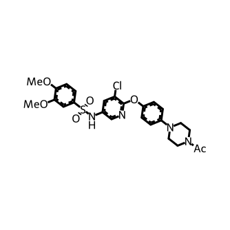 COc1ccc(S(=O)(=O)Nc2cnc(Oc3ccc(N4CCN(C(C)=O)CC4)cc3)c(Cl)c2)cc1OC